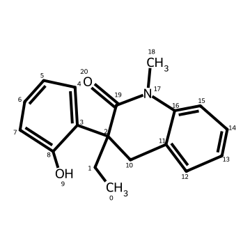 CCC1(c2ccccc2O)Cc2ccccc2N(C)C1=O